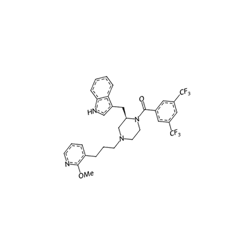 COc1ncccc1CCCN1CCN(C(=O)c2cc(C(F)(F)F)cc(C(F)(F)F)c2)[C@H](Cc2c[nH]c3ccccc23)C1